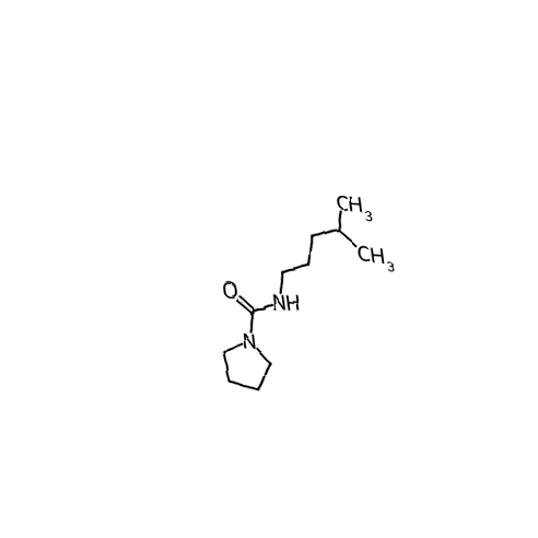 CC(C)CCCNC(=O)N1CCCC1